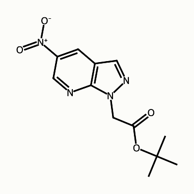 CC(C)(C)OC(=O)Cn1ncc2cc([N+](=O)[O-])cnc21